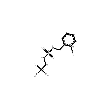 O=S(=O)(OCc1ccccc1F)OCC(F)(F)F